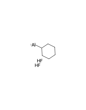 F.F.[Al][CH]1CCCCC1